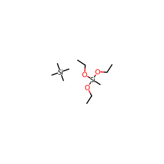 CCO[Si](C)(OCC)OCC.C[Si](C)(C)C